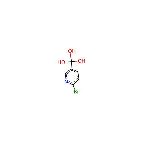 OC(O)(O)c1ccc(Br)nc1